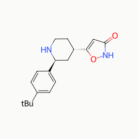 CC(C)(C)c1ccc([C@@H]2C[C@@H](c3cc(=O)[nH]o3)CCN2)cc1